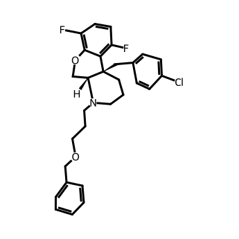 Fc1ccc(F)c2c1OC[C@H]1N(CCCOCc3ccccc3)CCC[C@@]21Cc1ccc(Cl)cc1